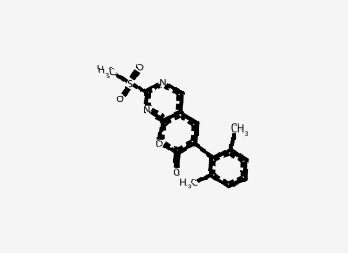 Cc1cccc(C)c1-c1cc2cnc(S(C)(=O)=O)nc2oc1=O